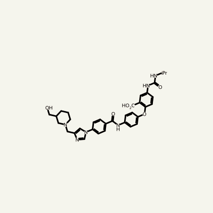 CC(C)NC(=O)Nc1ccc(Oc2ccc(NC(=O)c3ccc(-n4cnc(CN5CCCC(CO)C5)c4)cc3)cc2)c(C(=O)O)c1